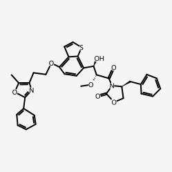 CO[C@@H](C(=O)N1C(=O)OC[C@@H]1Cc1ccccc1)[C@H](O)c1ccc(OCCc2nc(-c3ccccc3)oc2C)c2ccsc12